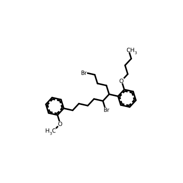 CCCCOc1ccccc1C(CCCBr)C(Br)CCCCc1ccccc1OC